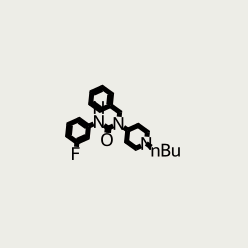 CCCCN1CCC(N(Cc2ccccc2)C(=O)Nc2cccc(F)c2)CC1